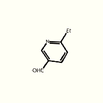 CCc1ccc([C]=O)cn1